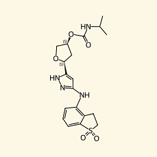 CC(C)NC(=O)O[C@@H]1CO[C@H](c2cc(Nc3cccc4c3CCS4(=O)=O)n[nH]2)C1